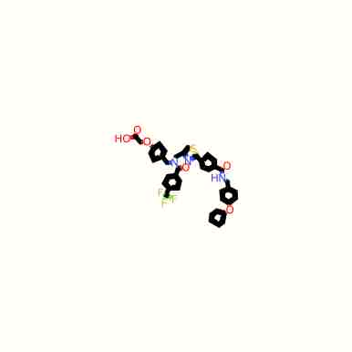 O=C(O)COc1ccc(CN(Cc2csc(-c3ccc(C(=O)NCc4ccc(Oc5ccccc5)cc4)cc3)n2)C(=O)c2ccc(C(F)(F)F)cc2)cc1